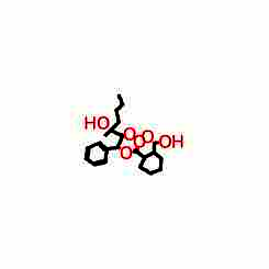 CCCCC(C)(O)C(=O)C(OC(=O)C1CCCCC1C(=O)O)c1ccccc1